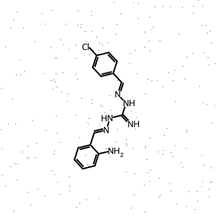 N=C(N/N=C/c1ccc(Cl)cc1)N/N=C/c1ccccc1N